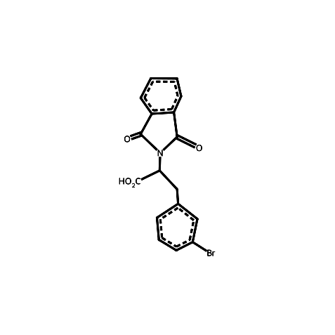 O=C(O)C(Cc1cccc(Br)c1)N1C(=O)c2ccccc2C1=O